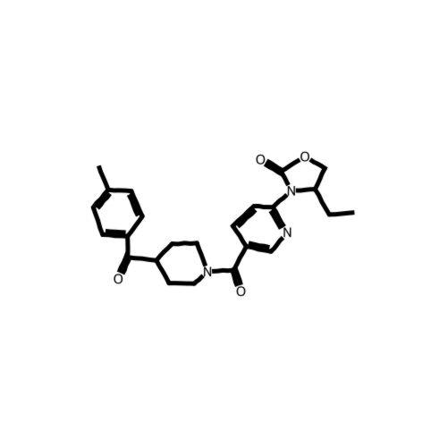 CCC1COC(=O)N1c1ccc(C(=O)N2CCC(C(=O)c3ccc(C)cc3)CC2)cn1